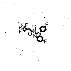 O=C(CC1CC(F)(F)C1(F)F)Nc1nc2ccc(F)cc2n1-c1ccc(F)cc1